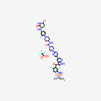 CCN(C)S(=O)(=O)Nc1ccc(F)c(C(=O)c2c[nH]c3ncc(-c4cnc(N5CCN(C(=O)NC6CCN(c7ccc(NC8CCC(=O)NC8=O)cc7F)CC6)CC5)nc4)cc23)c1F.O=C(O)C(F)(F)F